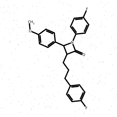 COc1ccc(C2C(CCCc3ccc(F)cc3)C(=O)N2c2ccc(F)cc2)cc1